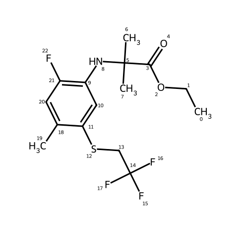 CCOC(=O)C(C)(C)Nc1cc(SCC(F)(F)F)c(C)cc1F